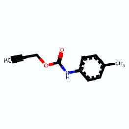 C#CCOC(=O)Nc1ccc(C)cc1